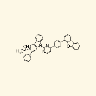 CC1(C)c2ccccc2-c2cc3c(cc21)c1ccccc1n3-c1nccc(-c2ccc(-c3cccc4c3oc3ccccc34)cc2)n1